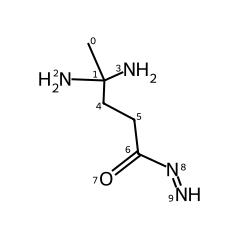 CC(N)(N)CCC(=O)N=N